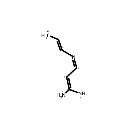 C/C=C/N=C\C=C(N)N